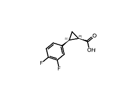 O=C(O)[C@@H]1C[C@@H]1c1ccc(F)c(F)c1